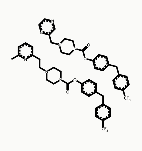 Cc1cccc(CCN2CCN(C(=O)Oc3ccc(Cc4ccc(C(F)(F)F)cc4)cc3)CC2)n1.O=C(Oc1ccc(Cc2ccc(C(F)(F)F)cc2)cc1)N1CCN(Cc2cnccn2)CC1